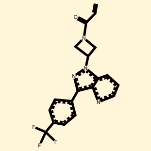 C=CC(=O)N1CC(n2nc(-c3ccc(C(F)(F)F)cc3)c3ncccc32)C1